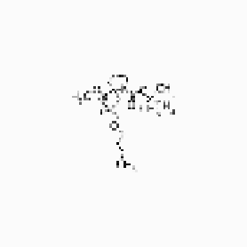 CCCCOCC1(CC2(C(=O)OC)CCCN2C(=O)OC(C)(C)C)CC1